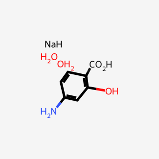 Nc1ccc(C(=O)O)c(O)c1.O.O.[NaH]